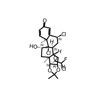 CC1(C)O[C@@H]2C[C@H]3[C@@H]4C[C@H](Cl)C5=CC(=O)C=C[C@]5(C)[C@@]4(Cl)[C@@H](O)C[C@]3(C)[C@]2(C(=O)C(F)Cl)O1